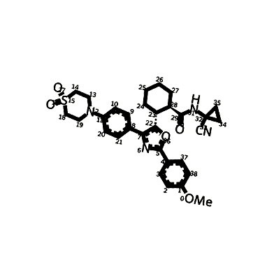 COc1ccc(-c2nc(-c3ccc(N4CCS(=O)(=O)CC4)cc3)c([C@@H]3CCCC[C@H]3C(=O)NC3(C#N)CC3)o2)cc1